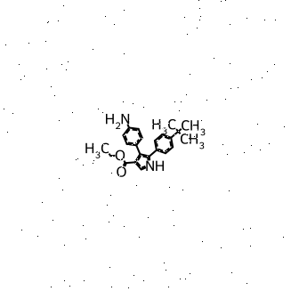 CCOC(=O)c1c[nH]c(-c2ccc(C(C)(C)C)cc2)c1-c1ccc(N)cc1